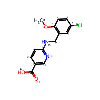 COc1ccc(Cl)cc1CNc1ccc(C(=O)O)cn1